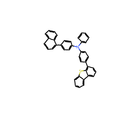 c1ccc(N(c2ccc(-c3cccc4ccccc34)cc2)c2ccc(-c3cccc4c3sc3ccccc34)cc2)cc1